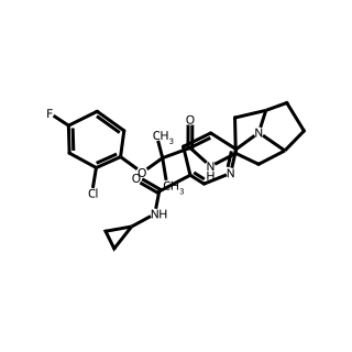 CC(C)(Oc1ccc(F)cc1Cl)C(=O)NC1CC2CCC(C1)N2c1ccc(C(=O)NC2CC2)cn1